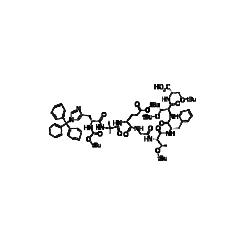 C[C@@H](OC(C)(C)C)[C@H](NC(=O)CNC(=O)[C@H](CCC(=O)OC(C)(C)C)NC(=O)C(C)(C)NC(=O)[C@H](Cc1cn(C(c2ccccc2)(c2ccccc2)c2ccccc2)cn1)NC(=O)OC(C)(C)C)C(=O)N[C@@H](Cc1ccccc1)C(=O)N[C@H](C(=O)N[C@@H](COC(C)(C)C)C(=O)O)[C@@H](C)OC(C)(C)C